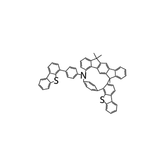 CC1(C)c2cc3c4cc2-c2c(cccc21)N(c1ccc(-c2cccc5c2sc2ccccc25)cc1)c1ccc(cc1)-c1c(ccc2c1sc1ccccc12)C4(C)c1ccccc1-3